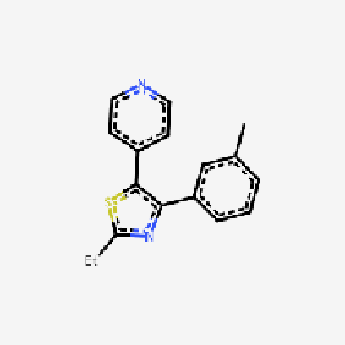 CCc1nc(-c2cccc(C)c2)c(-c2ccncc2)s1